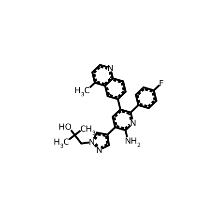 Cc1ccnc2ccc(-c3cc(-c4cnn(CC(C)(C)O)c4)c(N)nc3-c3ccc(F)cc3)cc12